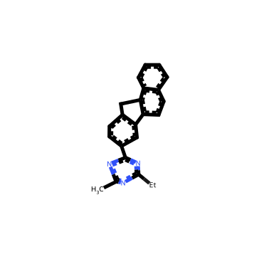 CCc1nc(C)nc(-c2ccc3c(c2)-c2ccc4ccccc4c2C3)n1